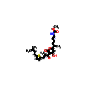 COC(=O)N/C=C/CCC(C)c1cc(O)c(C(=O)/C(C)=C/c2ccc(CCC(C)C)s2)c(=O)o1